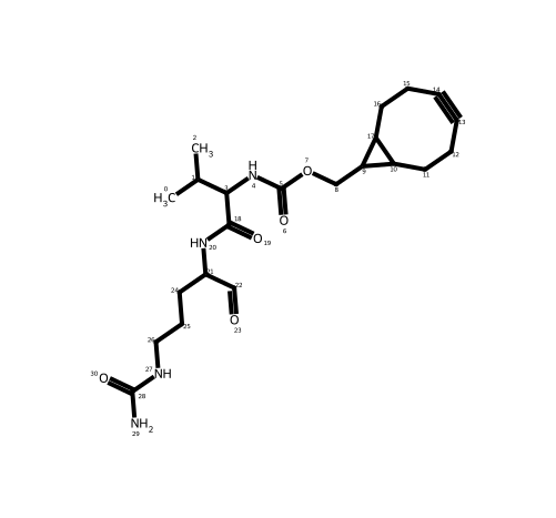 CC(C)C(NC(=O)OCC1C2CCC#CCCC21)C(=O)NC(C=O)CCCNC(N)=O